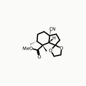 COC(=O)[C@]1(C)[C@H](C)CC[C@@]2(C#N)CCC3(OCCO3)[C@@H]21